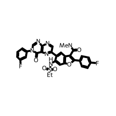 CCS(=O)(=O)Nc1cc2oc(-c3ccc(F)cc3)c(C(=O)NC)c2cc1-c1cnc2ncn(-c3cccc(F)c3)c(=O)c2n1